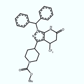 CC(C)(C)OC(=O)N1CCC(c2nn(C(c3ccccc3)c3ccccc3)c3c2C(C(F)(F)F)CC(=O)N3)CC1